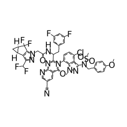 COc1ccc(CN(c2nn(C)c3c(-n4c(C(Cc5cc(F)cc(F)c5)NC(=O)Cn5nc(C(F)F)c6c5C(F)(F)[C@@H]5C[C@H]65)nc5ncc(C#N)cc5c4=O)ccc(Cl)c23)S(C)(=O)=O)cc1